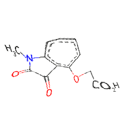 CN1C(=O)C(=O)c2c(OCC(=O)O)cccc21